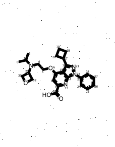 CC(C)N(CCOc1cc(C(=O)O)nc2c1c(C1CCC1)nn2-c1ccccc1)C1COC1